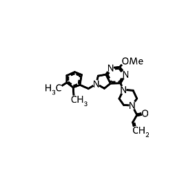 C=CC(=O)N1CCN(c2nc(OC)nc3c2CN(Cc2cccc(C)c2C)C3)CC1